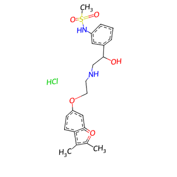 Cc1oc2cc(OCCNCC(O)c3cccc(NS(C)(=O)=O)c3)ccc2c1C.Cl